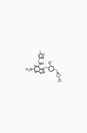 COc1cc(CN2CC(OC)C2)ccc1Cn1ncc2nc(N)nc(NCc3cc(C)on3)c21